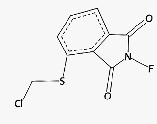 O=C1c2cccc(SCCl)c2C(=O)N1F